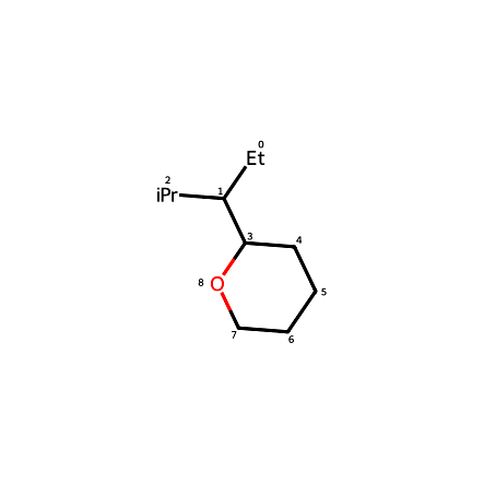 CCC(C(C)C)C1CCCCO1